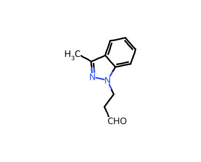 Cc1nn(CCC=O)c2ccccc12